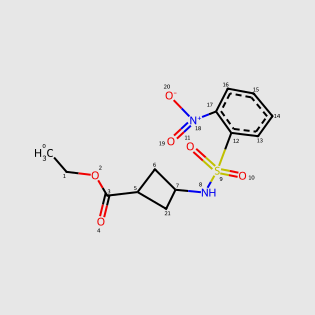 CCOC(=O)C1CC(NS(=O)(=O)c2ccccc2[N+](=O)[O-])C1